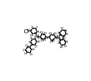 Clc1cccc(N(c2ccc(-c3ccccc3)cc2)c2ccc(-c3ccc(-n4c5ccccc5c5ccccc54)cc3)cc2)c1